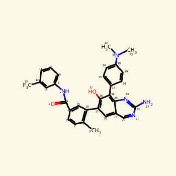 Cc1ccc(C(=O)Nc2cccc(C(F)(F)F)c2)cc1-c1cc2cnc(N)nc2c(-c2ccc(N(C)C)cc2)c1O